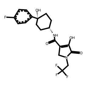 O=C(N[C@H]1CC[C@](O)(c2ccc(F)cc2)CC1)C1=C(O)C(=O)N(CC(F)(F)F)C1